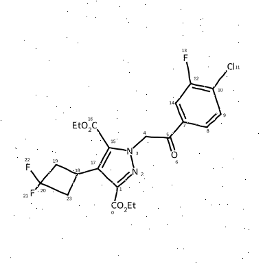 CCOC(=O)c1nn(CC(=O)c2ccc(Cl)c(F)c2)c(C(=O)OCC)c1C1CC(F)(F)C1